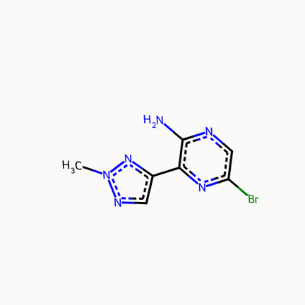 Cn1ncc(-c2nc(Br)cnc2N)n1